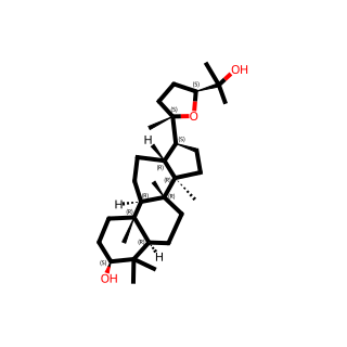 CC(C)(O)[C@@H]1CC[C@@](C)([C@H]2CC[C@]3(C)[C@@H]2CC[C@@H]2[C@@]4(C)CC[C@H](O)C(C)(C)[C@@H]4CC[C@]23C)O1